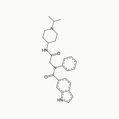 CC(C)N1CCC(NC(=O)CN(C(=O)c2ccc3cc[nH]c3c2)c2ccccc2)CC1